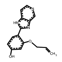 C=CCOc1cc(O)ccc1-c1nc2cnccc2[nH]1